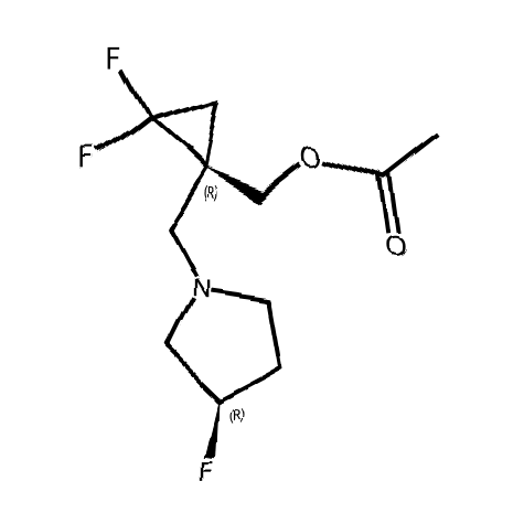 CC(=O)OC[C@]1(CN2CC[C@@H](F)C2)CC1(F)F